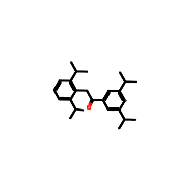 CC(C)c1[c]c(C(C)C)cc(C(=O)Cc2c(C(C)C)cccc2C(C)C)c1